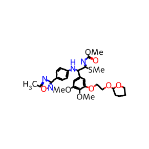 COC(=O)N=C(SC)C(Nc1ccc(-c2noc(C)n2)cc1)c1cc(OC)c(OC)c(OCCOC2CCCCO2)c1